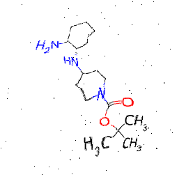 CC(C)(C)OC(=O)N1CCC(N[C@H]2CCCCC2N)CC1